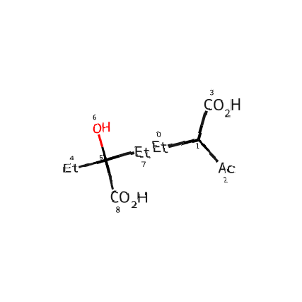 CCC(C(C)=O)C(=O)O.CCC(O)(CC)C(=O)O